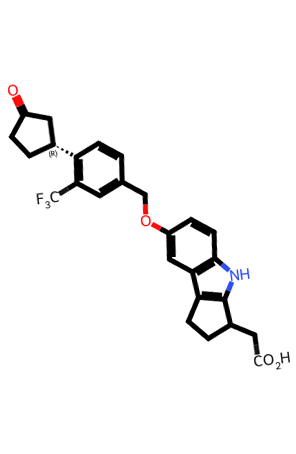 O=C(O)CC1CCc2c1[nH]c1ccc(OCc3ccc([C@@H]4CCC(=O)C4)c(C(F)(F)F)c3)cc21